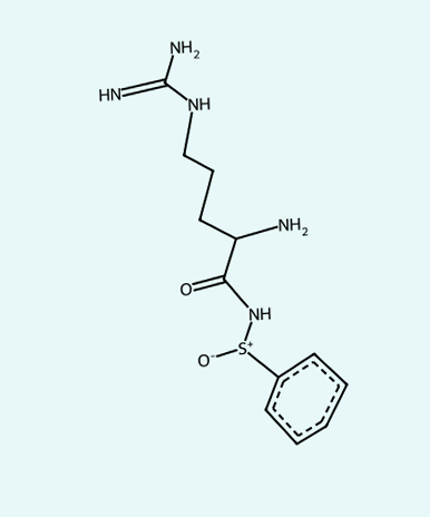 N=C(N)NCCCC(N)C(=O)N[S+]([O-])c1ccccc1